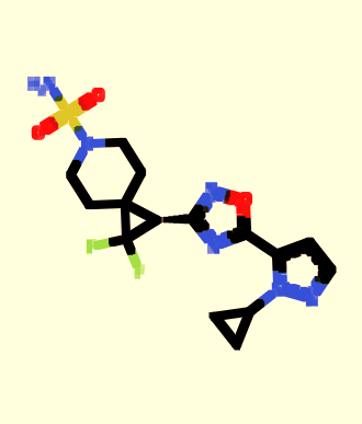 NS(=O)(=O)N1CCC2(CC1)[C@H](c1noc(-c3ccnn3C3CC3)n1)C2(F)F